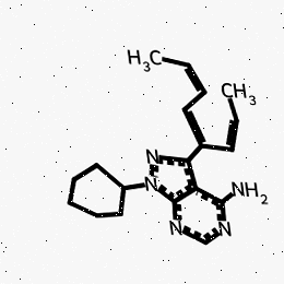 C\C=C/C=C(\C=C/C)c1nn(C2CCCCC2)c2ncnc(N)c12